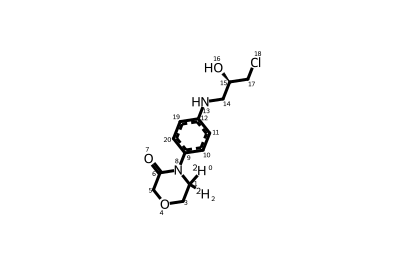 [2H]C1([2H])COCC(=O)N1c1ccc(NC[C@@H](O)CCl)cc1